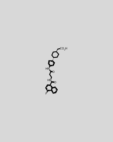 O=C(O)C[C@H]1CC[C@H](c2ccc(NC(=O)CCNC(=O)c3ccc(F)c4ccccc34)cc2)CC1